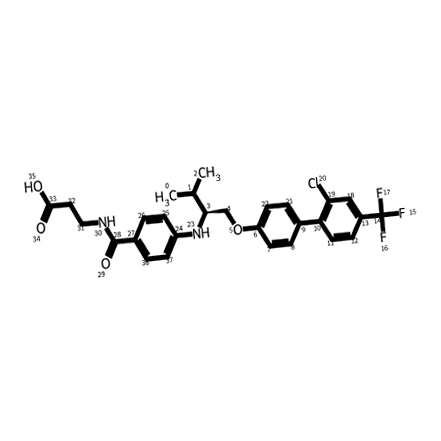 CC(C)[C@@H](COc1ccc(-c2ccc(C(F)(F)F)cc2Cl)cc1)Nc1ccc(C(=O)NCCC(=O)O)cc1